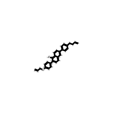 C=CCCc1ccc(-c2ccc3c(F)c(-c4ccc(OCC=C)cc4)ccc3c2)cc1